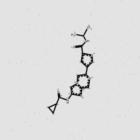 CC(NC(=O)c1cc(-c2cn3cc(NC(=O)C4CC4)nc3cn2)cs1)C(F)(F)F